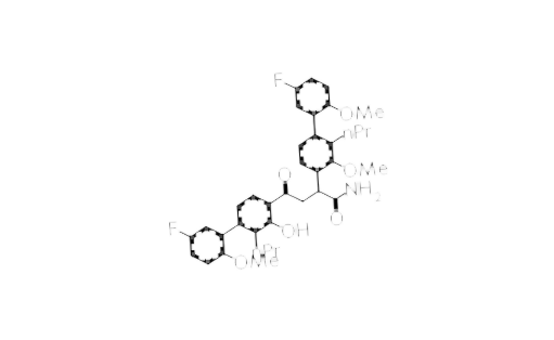 CCCc1c(-c2cc(F)ccc2OC)ccc(C(=O)CC(C(N)=O)c2ccc(-c3cc(F)ccc3OC)c(CCC)c2OC)c1O